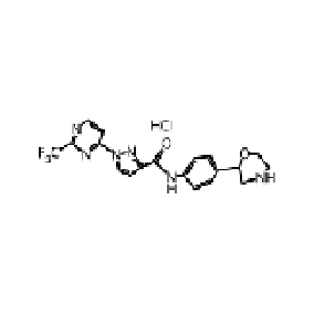 Cl.O=C(Nc1ccc(C2CNCCO2)cc1)c1ccn(-c2ccnc(C(F)(F)F)n2)n1